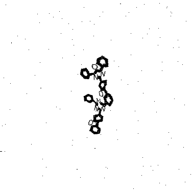 c1ccc(-c2nc(-c3ccc4c(c3)oc3ccccc34)nc(-c3cccc4c3oc3cc(-c5nc(-c6ccccc6)c6oc7ccccc7c6n5)ccc34)n2)cc1